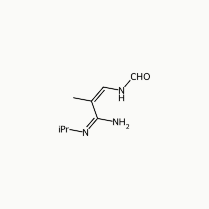 CC(=C/NC=O)/C(N)=N\C(C)C